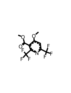 COC(=O)c1c(OC)cc(C(F)(F)F)nc1C(F)(F)F